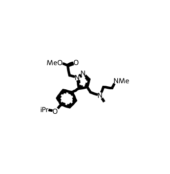 CNCCN(C)Cc1cnn(CC(=O)OC)c1-c1ccc(OC(C)C)cc1